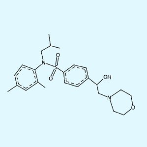 Cc1ccc(N(CC(C)C)S(=O)(=O)c2ccc(C(O)CN3CCOCC3)cc2)c(C)c1